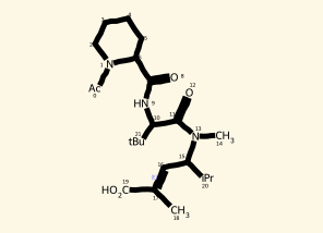 CC(=O)N1CCCCC1C(=O)NC(C(=O)N(C)C(/C=C(\C)C(=O)O)C(C)C)C(C)(C)C